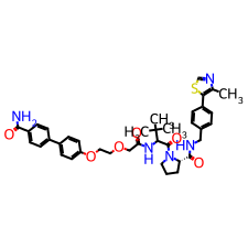 Cc1ncsc1-c1ccc(CNC(=O)[C@@H]2CCCN2C(=O)C(NC(=O)COCCOc2ccc(-c3ccc(C(N)=O)cc3)cc2)C(C)(C)C)cc1